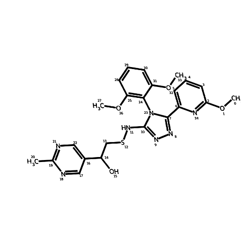 COc1cccc(-c2nnc(NSCC(O)c3cnc(C)nc3)n2-c2c(OC)cccc2OC)n1